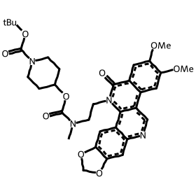 COc1cc2c(=O)n(CCN(C)C(=O)OC3CCN(C(=O)OC(C)(C)C)CC3)c3c4cc5c(cc4ncc3c2cc1OC)OCO5